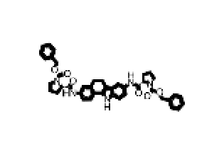 O=C(Nc1ccc2c(c1)CCc1c-2[nH]c2ccc(NC(=O)[C@@H]3CCCN3C(=O)OCc3ccccc3)cc12)[C@@H]1CCCN1C(=O)OCc1ccccc1